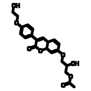 CC(=O)OCC(O)COC1=CC2OC(=O)C(c3ccc(OCCO)cc3)=CC2C=C1